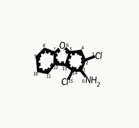 Nc1c(Cl)cc2oc3ccccc3c2c1Cl